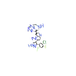 Fc1cc(F)c(-c2n[nH]cc2-c2ccc3ncc(-c4ncn5c4CNCC5)cc3n2)cc1Cl